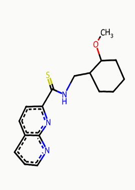 COC1CCCCC1CNC(=S)c1ccc2cccnc2n1